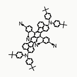 CC(C)(C)c1ccc(N(c2ccc(C(C)(C)C)cc2)c2ccc3c4cc5c(-c6ccc(C#N)cc6C#N)c6c7ccc(N(c8ccc(C(C)(C)C)cc8)c8ccc(C(C)(C)C)cc8)c8cccc(c6c(-c6ccc(C#N)cc6C#N)c5cc4c4cccc2c43)c87)cc1